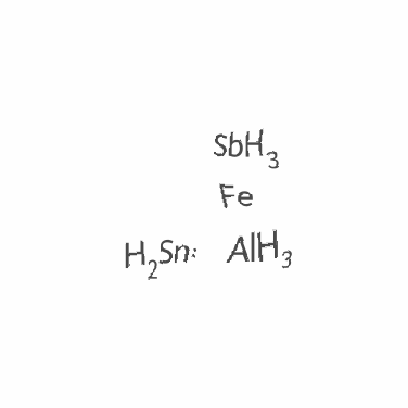 [AlH3].[Fe].[SbH3].[SnH2]